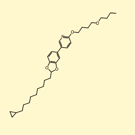 CCCCOCCCCOc1ccc(-c2ccc3c(c2)OC(CCCCCCCCCC2CC2)O3)cn1